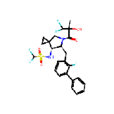 CC(O)(C(=O)N1CC2(CC2)[C@H](NS(=O)(=O)C(F)F)[C@@H]1Cc1cccc(-c2ccccc2)c1F)C(F)F